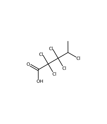 CC(Cl)C(Cl)(Cl)C(Cl)(Cl)C(=O)O